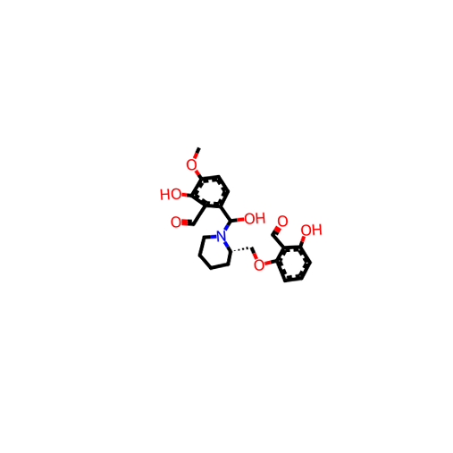 COc1ccc(C(O)N2CCCC[C@H]2COc2cccc(O)c2C=O)c(C=O)c1O